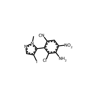 [C-]#[N+]c1cc([N+](=O)[O-])c(N)c(Cl)c1-c1c(I)cnn1C